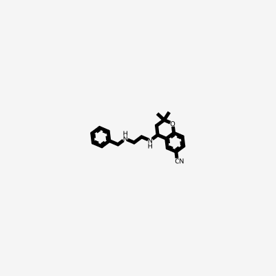 CC1(C)CC(NCCNCc2ccccc2)c2cc(C#N)ccc2O1